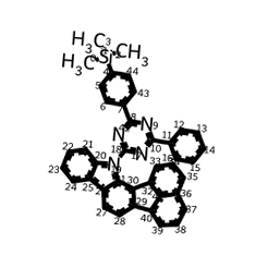 C[Si](C)(C)c1ccc(-c2nc(-c3ccccc3)nc(-n3c4ccccc4c4ccc5c(c43)-c3cccc4cccc-5c34)n2)cc1